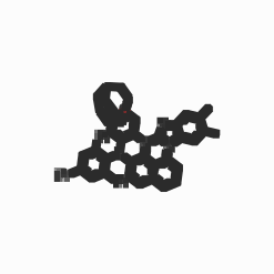 Cc1cc2nc3n4c5c(ccc6cccc(c65)n3c2cc1C)B(c1c(C(C)C)cc(C(C)C)cc1C(C)C)c1cc2c(cc1-4)C1CC3CC(CC2C3)C1